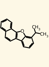 CC(C)c1cccc2c1oc1c3ccccc3ccc21